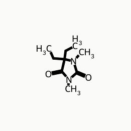 CCC1(CC)C(=O)N(C)C(=O)N1C